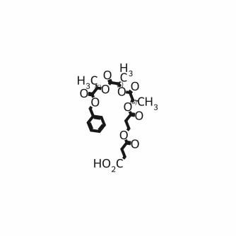 C[C@H](OC(=O)CCOC(=O)CCC(=O)O)C(=O)O[C@@H](C)C(=O)O[C@@H](C)C(=O)OCc1ccccc1